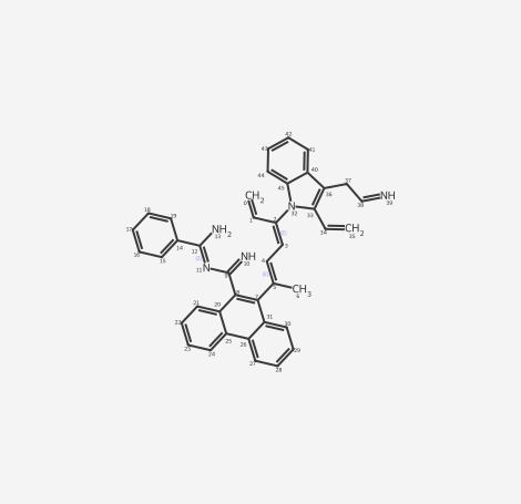 C=C/C(=C\C=C(/C)c1c(C(=N)/N=C(\N)c2ccccc2)c2ccccc2c2ccccc12)n1c(C=C)c(CC=N)c2ccccc21